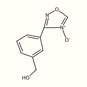 [O-][n+]1conc1-c1cccc(CO)c1